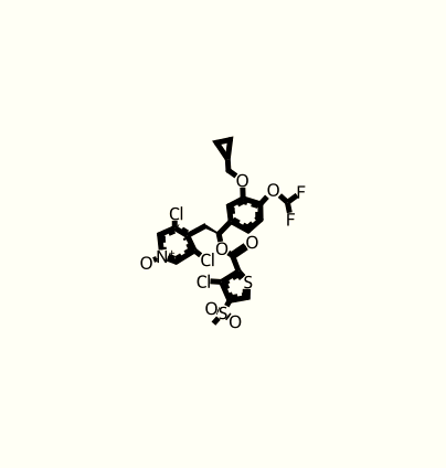 CS(=O)(=O)c1csc(C(=O)O[C@@H](Cc2c(Cl)c[n+]([O-])cc2Cl)c2ccc(OC(F)F)c(OCC3CC3)c2)c1Cl